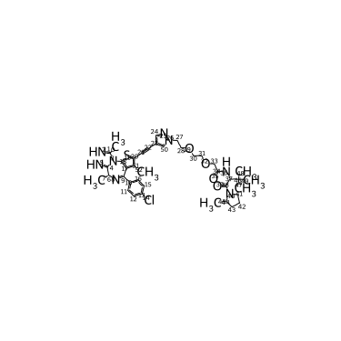 CC(=N)N1C(=N)[C@H](C)N=C(c2ccc(Cl)cc2)c2c1sc(C#Cc1cnn(CCOCCOCC(=O)NC(C(=O)N3CCCC3C)C(C)(C)C)c1)c2C